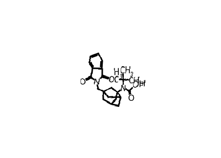 CC(C)(C)N(C(=O)O)C12CC3CC1CC(CN1C(=O)c4ccccc4C1=O)(C3)C2